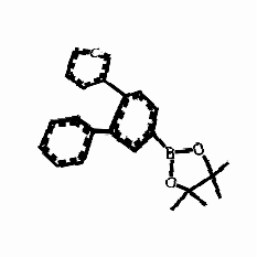 CC1(C)OB(c2ccc(-c3ccccc3)c(-c3ccccc3)c2)OC1(C)C